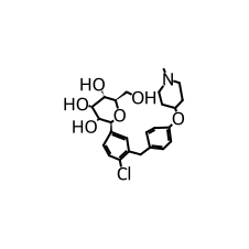 CN1CCC(Oc2ccc(Cc3cc([C@@H]4O[C@H](CO)[C@@H](O)[C@H](O)[C@H]4O)ccc3Cl)cc2)CC1